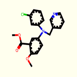 COC(=O)c1cc(N(Cc2cccnc2)c2cccc(Cl)c2)ccc1OC